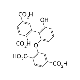 O=C(O)c1ccc(C(=O)O)c(Oc2cccc(O)c2-c2cc(C(=O)O)ccc2C(=O)O)c1